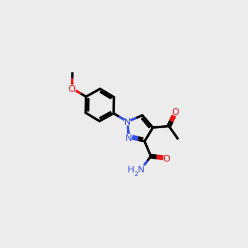 COc1ccc(-n2cc(C(C)=O)c(C(N)=O)n2)cc1